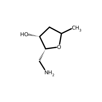 CC1C[C@@H](O)[C@@H](CN)O1